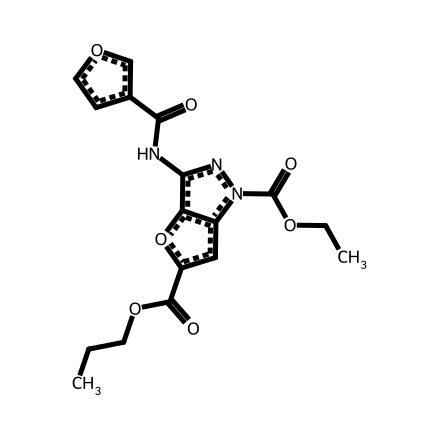 CCCOC(=O)c1cc2c(o1)c(NC(=O)c1ccoc1)nn2C(=O)OCC